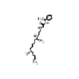 C=C/C=C\CCN(C)CCCCCC(=C)NCCCNCC(=O)NC(C)c1ccccc1